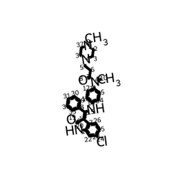 CN1CCN(CCC(=O)N(C)c2ccc(NC(=C3C(=O)Nc4cc(Cl)ccc43)c3ccccc3)cc2)CC1